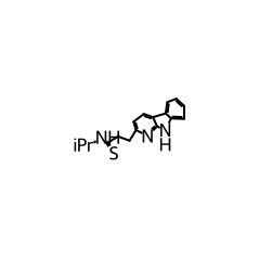 CC(C)NC(=S)CCc1ccc2c(n1)[nH]c1ccccc12